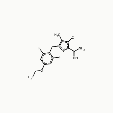 CCOc1cc(F)c(Cn2nc(C(=N)N)c(Cl)c2C)c(F)c1